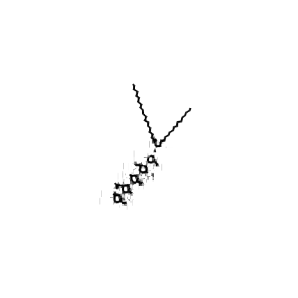 CCCCCCCCCCCCC/C=C/[C@@H](O)[C@H](CO[C@@H]1OC(CO)[C@@H](O[C@@H]2OC(CO)[C@H](O[C@@H]3OC(CO)[C@H](O)[C@H](O[C@@H]4OC(CO)[C@H](O)[C@H](O[C@@H]5OC(CO)[C@H](O)[C@H](O)C5O)C4NC(C)=O)C3O)[C@H](O)C2O)[C@H](O)C1O)NC(=O)CCCCCCCCCCCCCCCCCCC